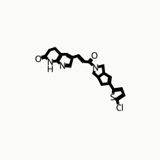 O=C1CCc2cc(/C=C/C(=O)N3CC4C=C(c5ccc(Cl)s5)CC4C3)cnc2N1